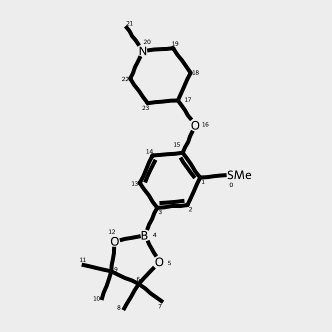 CSc1cc(B2OC(C)(C)C(C)(C)O2)ccc1OC1CCN(C)CC1